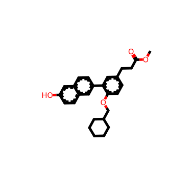 COC(=O)CCc1ccc(OCC2CCCCC2)c(-c2ccc3cc(O)ccc3c2)c1